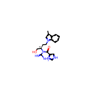 Cc1cn(CC[C@H](CO)N(C(=N)N)C(=O)c2c[nH]cn2)c2ccccc12